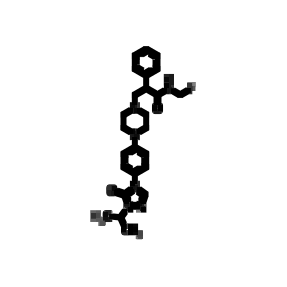 CC(C)n1ncn(-c2ccc(N3CCN(CC(C(=O)NCF)c4ccccc4)CC3)cc2)c1=O